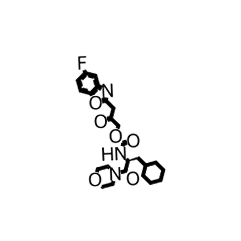 O=C(COC(=O)N[C@@H](CC1CCCCC1)C(=O)N1CCOCC1)Cc1nc2cc(F)ccc2o1